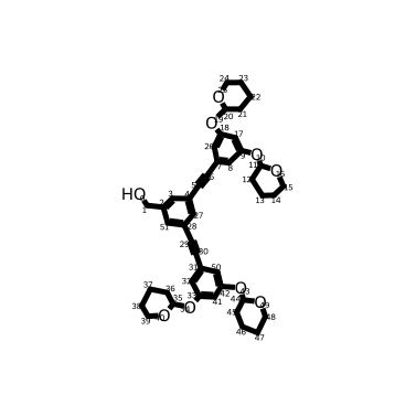 OCc1cc(C#Cc2cc(OC3CCCCO3)cc(OC3CCCCO3)c2)cc(C#Cc2cc(OC3CCCCO3)cc(OC3CCCCO3)c2)c1